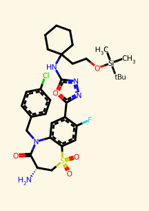 CC(C)(C)[Si](C)(C)OCCC1(Nc2nnc(-c3cc4c(cc3F)S(=O)(=O)C[C@H](N)C(=O)N4Cc3ccc(Cl)cc3)o2)CCCCC1